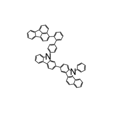 c1ccc(-n2c3ccc(-c4ccc5c6ccccc6n(-c6ccc(-c7ccccc7-c7ccc8c9c(cccc79)-c7ccccc7-8)cc6)c5c4)cc3c3ccc4ccccc4c32)cc1